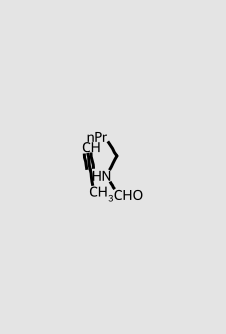 C#CC.CCCCNC=O